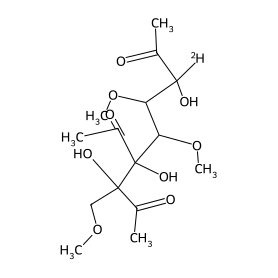 [2H]C(O)(C(C)=O)C(OC)C(OC)C(O)(C(C)=O)C(O)(COC)C(C)=O